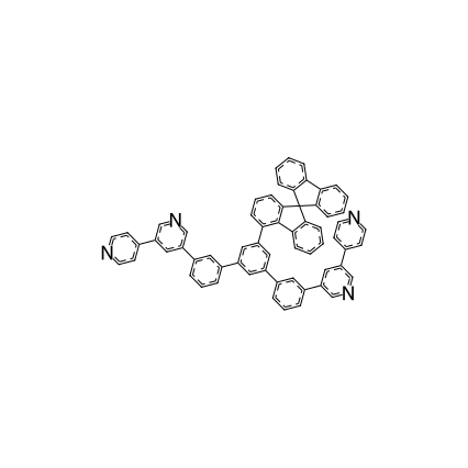 c1cc(-c2cncc(-c3ccncc3)c2)cc(-c2cc(-c3cccc(-c4cncc(-c5ccncc5)c4)c3)cc(-c3cccc4c3-c3ccccc3C43c4ccccc4-c4ccccc43)c2)c1